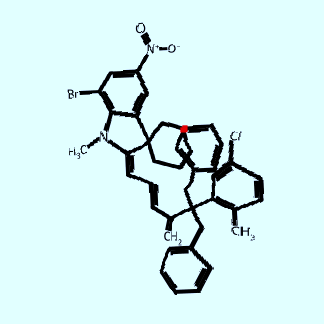 C=C(/C=C/C=C1/N(C)c2c(Br)cc([N+](=O)[O-])cc2C12CCCCC2)C(Cc1ccccc1)(Cc1ccccc1)c1cc(Cl)ccc1C